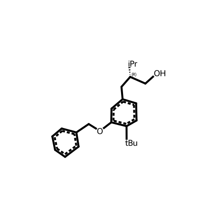 CC(C)[C@H](CO)Cc1ccc(C(C)(C)C)c(OCc2ccccc2)c1